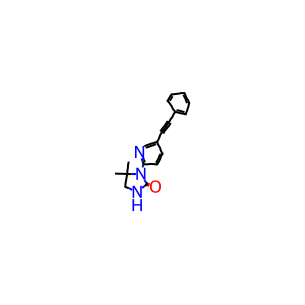 CC1(C)CNC(=O)N1c1ccc(C#Cc2ccccc2)cn1